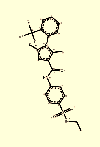 CCNS(=O)(=O)c1ccc(NC(=O)c2cc(C)n(-c3ccccc3C(F)(F)F)c2C)cc1